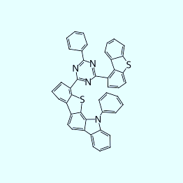 c1ccc(-c2nc(-c3cccc4c3sc3c4ccc4c5ccccc5n(-c5ccccc5)c43)nc(-c3cccc4sc5ccccc5c34)n2)cc1